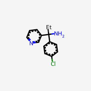 CCC(N)(c1ccc(Cl)cc1)c1cccnc1